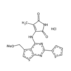 COCc1csc2nc(-c3cccs3)nc(NC3=C(C)C(=O)NC3=O)c12.Cl